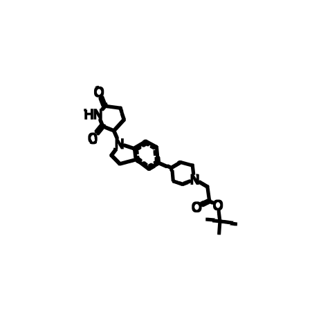 CC(C)(C)OC(=O)CN1CCC(c2ccc3c(c2)CCN3C2CCC(=O)NC2=O)CC1